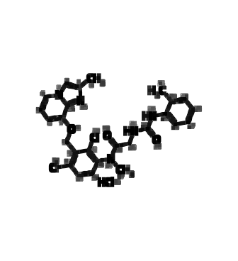 Cc1cn2cccc(OCc3c(Cl)ccc(N(C)C(=O)CNC(=O)Nc4ccccc4C)c3Cl)c2n1.Cl